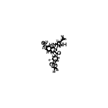 C[C@@H]1CN(C(=O)c2nc(Nc3cc(C4CC4)[nH]n3)c3cc(P(C)(C)=O)ccc3n2)CCN1C(=O)OC(C)(C)C